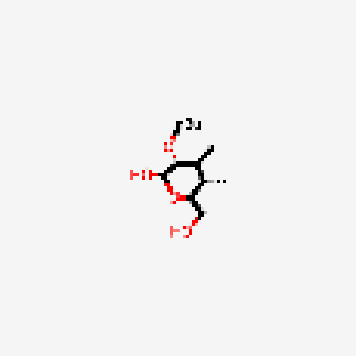 CCCCO[C@@H]1C(C)[C@H](C)C(CO)O[C@H]1O